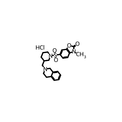 Cl.Cn1c(=O)oc2cc(S(=O)(=O)N3CCCC(CN4CCc5ccccc5C4)C3)ccc21